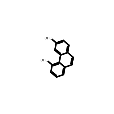 O=Cc1ccc2ccc3cccc(C=O)c3c2c1